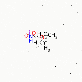 CC(C)CC(OCCCC(=O)NC(=O)I)C(C)C